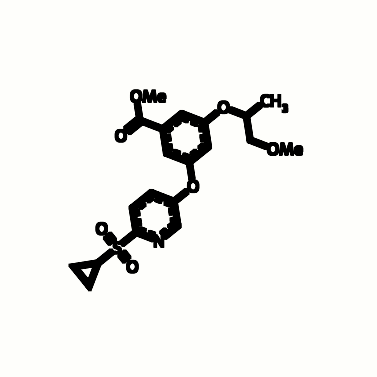 COCC(C)Oc1cc(Oc2ccc(S(=O)(=O)C3CC3)nc2)cc(C(=O)OC)c1